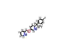 Cc1ccc(C(C)(c2ccc(OCc3ccccn3)cn2)C(C)C)cc1